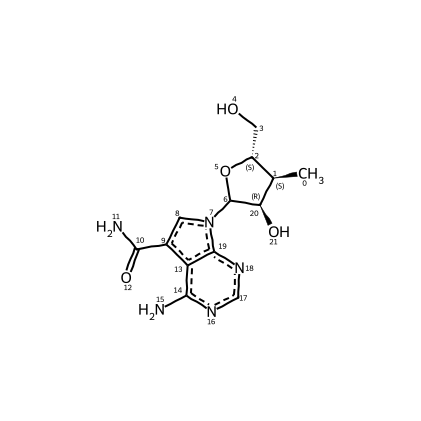 C[C@@H]1[C@@H](CO)OC(n2cc(C(N)=O)c3c(N)ncnc32)[C@@H]1O